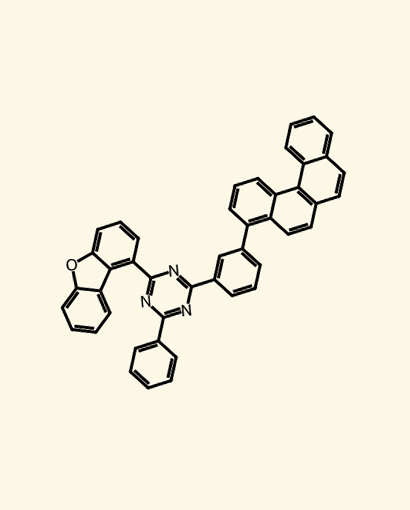 c1ccc(-c2nc(-c3cccc(-c4cccc5c4ccc4ccc6ccccc6c45)c3)nc(-c3cccc4oc5ccccc5c34)n2)cc1